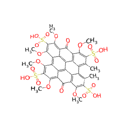 COc1c(S(=O)(=O)O)c(C)c2c3c(C)c(S(=O)(=O)O)c(OC)c4c(=O)c5c(OC)c(S(=O)(=O)O)c(OC)c6c7c(OC)c(S(=O)(=O)O)c(OC)c8c(=O)c1c2c(c87)c(c43)c56